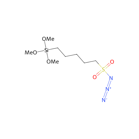 CO[Si](CCCCCS(=O)(=O)N=[N+]=[N-])(OC)OC